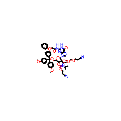 COc1ccc(C(OCC2OC(n3cnc4c(=O)[nH]c(NC(=O)COc5ccccc5)nc43)C(OCOCOCCC#N)C2OP(OCCC#N)N(C(C)C)C(C)C)(c2ccccc2)c2ccc(OC)cc2)cc1